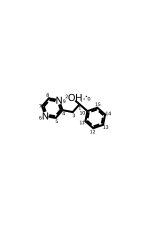 C[C@@](O)(Cc1cnccn1)c1ccccc1